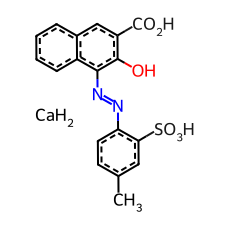 Cc1ccc(N=Nc2c(O)c(C(=O)O)cc3ccccc23)c(S(=O)(=O)O)c1.[CaH2]